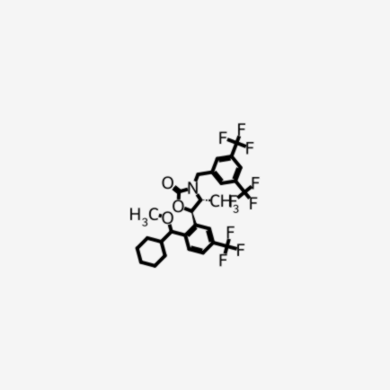 COC(c1ccc(C(F)(F)F)cc1[C@H]1OC(=O)N(Cc2cc(C(F)(F)F)cc(C(F)(F)F)c2)[C@@H]1C)C1CCCCC1